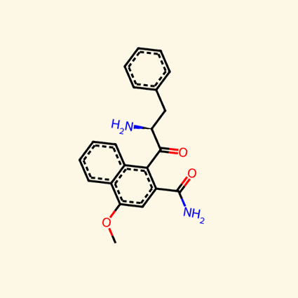 COc1cc(C(N)=O)c(C(=O)[C@@H](N)Cc2ccccc2)c2ccccc12